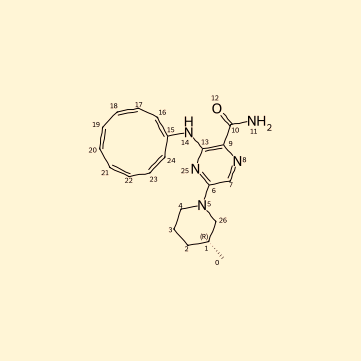 C[C@@H]1CCCN(c2cnc(C(N)=O)c(Nc3ccccccccc3)n2)C1